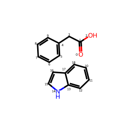 O=C(O)Cc1ccccc1.c1ccc2[nH]ccc2c1